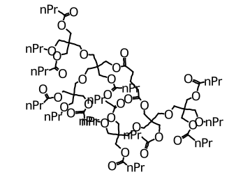 CCCOCC(COCC(COCC(COCCC)(COC(=O)CCC)COC(=O)CCC)(COC(=O)CCC)COC(=O)CCCC(=O)OCC(COCC(COCCC)(COC(=O)CCC)COC(=O)CCC)(COCC(COCCC)(COC(=O)CCC)COC(=O)CCC)COC(=O)CCC)(COC(=O)CCC)COC(=O)CCC